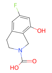 O=C(O)N1CCc2cc(F)cc(O)c2C1